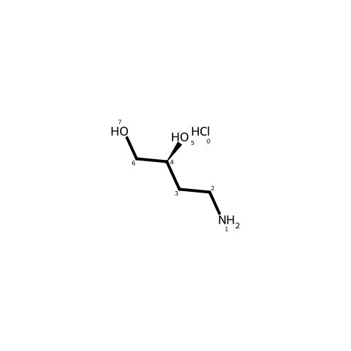 Cl.NCC[C@H](O)CO